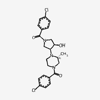 C[C@@H]1CN(C(=O)c2ccc(Cl)cc2)CCN1C1CN(C(=O)c2ccc(Cl)cc2)CC1O